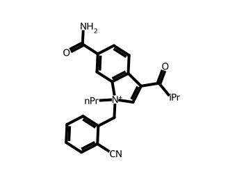 CCC[N+]1(Cc2ccccc2C#N)C=C(C(=O)C(C)C)c2ccc(C(N)=O)cc21